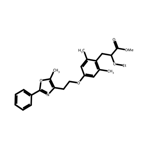 CCOC(Cc1c(C)cc(OCCc2nc(-c3ccccc3)oc2C)cc1C)C(=O)OC